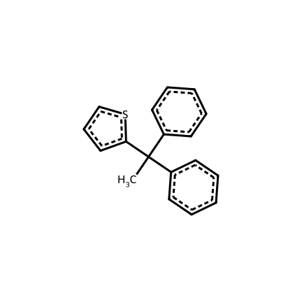 CC(c1ccccc1)(c1ccccc1)c1cccs1